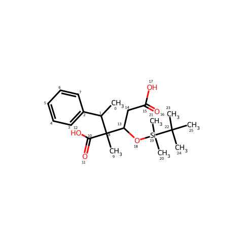 CC(c1ccccc1)C(C)(C(=O)O)C(CC(=O)O)O[Si](C)(C)C(C)(C)C